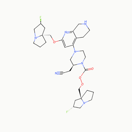 N#CC[C@H]1CN(c2cc(OC[C@]34CCCN3C[C@@H](F)C4)nc3c2CCNC3)CCN1C(=O)OOC[C@@]12CCCN1C[C@H](F)C2